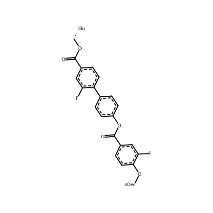 CCCCCCCCCCOc1ccc(C(=O)Oc2ccc(-c3ccc(C(=O)OC[C@@H](C)CC)cc3F)cc2)cc1F